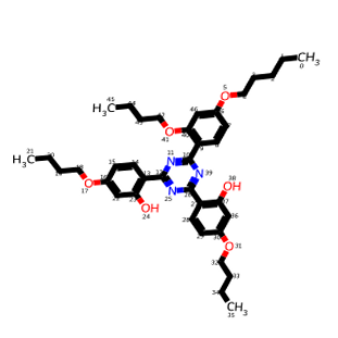 CCCCCOc1ccc(-c2nc(-c3ccc(OCCCC)cc3O)nc(-c3ccc(OCCCC)cc3O)n2)c(OCCCC)c1